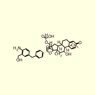 C[C@]12C=CC(=O)C=C1CC[C@@H]1[C@@H]2[C@@H](O)C[C@@]2(C)[C@H]1C[C@H]1O[C@@H](c3ccc(Cc4ccc(N)c(CO)c4)cc3)O[C@]12C(=O)CO[PH](=O)O